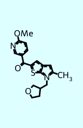 COc1ccc(C(=O)c2cc3cc(C)n(CC4CCOC4)c3s2)cn1